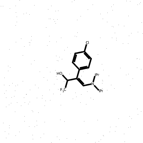 CC(C)N(/C=C(\c1ccc(Cl)cc1)C(O)C(F)(F)F)C(C)C